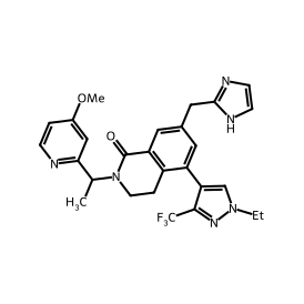 CCn1cc(-c2cc(Cc3ncc[nH]3)cc3c2CCN(C(C)c2cc(OC)ccn2)C3=O)c(C(F)(F)F)n1